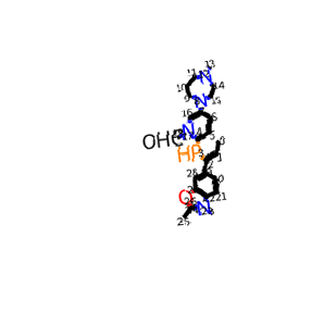 C/C=C(\PC1C=CC(N2CCCN(C)CC2)=CN1C=O)c1ccc2nc(C)oc2c1